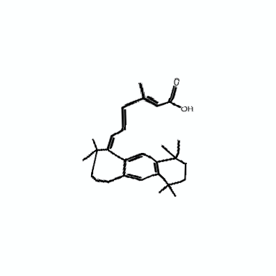 CC(C=CC=C1c2cc3c(cc2CCC1(C)C)C(C)(C)CCC3(C)C)=CC(=O)O